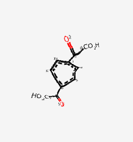 O=C(O)C(=O)c1ccc(C(=O)C(=O)O)cc1